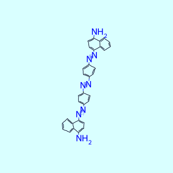 Nc1ccc(/N=N/c2ccc(/N=N/c3ccc(/N=N/c4ccc(N)c5ccccc45)cc3)cc2)c2ccccc12